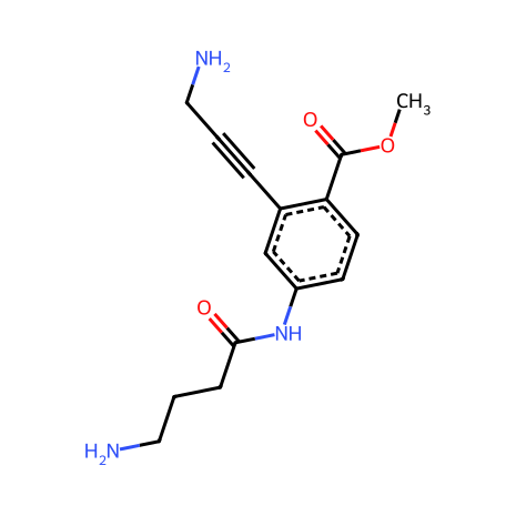 COC(=O)c1ccc(NC(=O)CCCN)cc1C#CCN